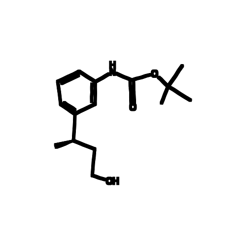 C[C@H](CCO)c1cccc(NC(=O)OC(C)(C)C)c1